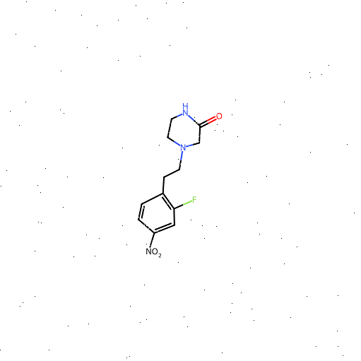 O=C1CN(CCc2ccc([N+](=O)[O-])cc2F)CCN1